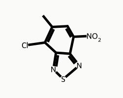 Cc1cc([N+](=O)[O-])c2nsnc2c1Cl